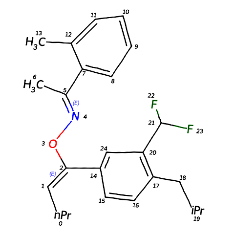 CCC/C=C(/O/N=C(\C)c1ccccc1C)c1ccc(CC(C)C)c(C(F)F)c1